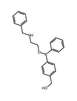 OCc1ccc(B(OCCNCc2ccccc2)c2ccccc2)cc1